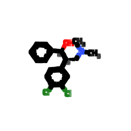 CN(C)C[C@H](c1ccc(Cl)c(Cl)c1)[C@H](O)c1ccccc1